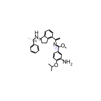 C=C(/N=C(\OC)c1ccc(OC(C)C)c(N)c1)c1cccc2c1CC[C@@H]2N[C@@H](C)c1ccccc1